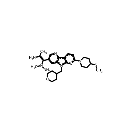 CSC1CCN(c2ccc3c4ncc(/C(=C(\C)N)N(C)N)cc4n(CC4CCOCC4)c3n2)CC1